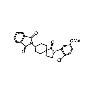 COc1ccc(Cl)c(N2CCC3(CCC(N4C(=O)c5ccccc5C4=O)CC3)C2=O)c1